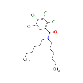 CCCCCCN(CCCCCC)C(=O)c1cc(Cl)c(Cl)c(Cl)c1Cl